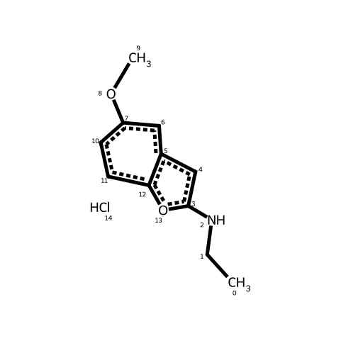 CCNc1cc2cc(OC)ccc2o1.Cl